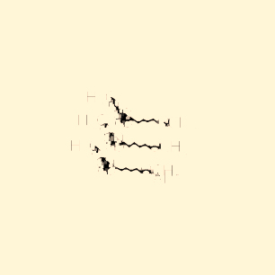 CCOCCCCCCOP(=O)([O-])OCOCC.CCOCCCCCCOP(=O)([O-])OCOCC.CCOCCCCCCOP(=O)([O-])OCOCC.[Al+3]